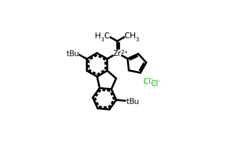 C[C](C)=[Zr+2]([C]1=CC=CC1)[c]1cc(C(C)(C)C)cc2c1Cc1c-2cccc1C(C)(C)C.[Cl-].[Cl-]